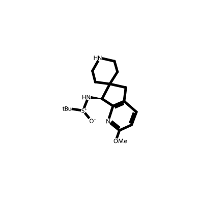 COc1ccc2c(n1)[C@@H](N[S+]([O-])C(C)(C)C)C1(CCNCC1)C2